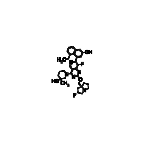 CCc1cccc2cc(O)cc(-c3ncc4c(N5CCC[C@@](C)(O)C5)nc(OC[C@@]56CCCN5C[C@H](F)C6)nc4c3F)c12